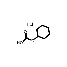 Cl.O=C(O)OC1CCCCC1